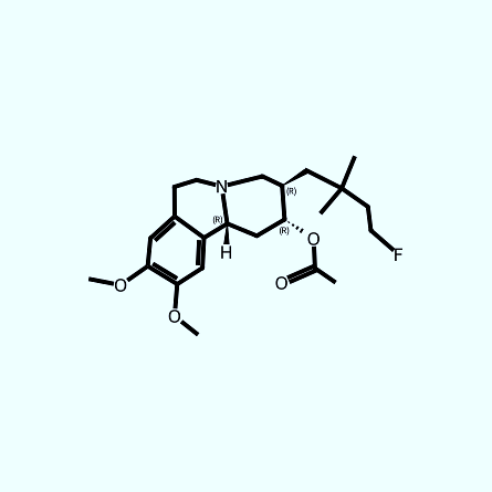 COc1cc2c(cc1OC)[C@H]1C[C@@H](OC(C)=O)[C@H](CC(C)(C)CCF)CN1CC2